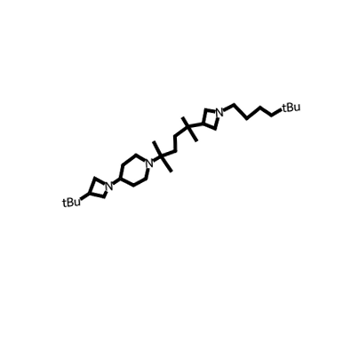 CC(C)(C)CCCCN1CC(C(C)(C)CCC(C)(C)N2CCC(N3CC(C(C)(C)C)C3)CC2)C1